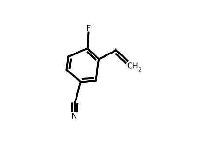 C=[C]c1cc(C#N)ccc1F